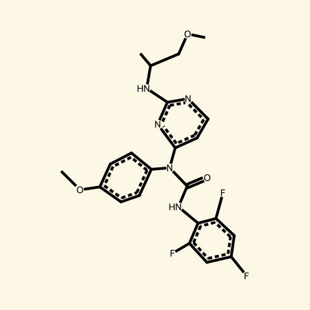 COCC(C)Nc1nccc(N(C(=O)Nc2c(F)cc(F)cc2F)c2ccc(OC)cc2)n1